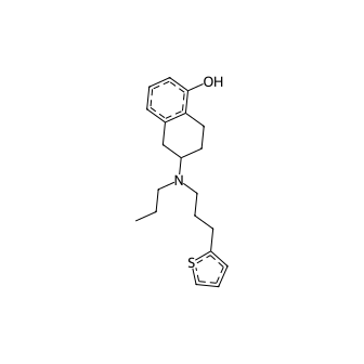 CCCN(CCCc1cccs1)C1CCc2c(O)cccc2C1